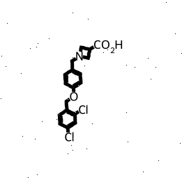 O=C(O)C1CN(Cc2ccc(OCc3ccc(Cl)cc3Cl)cc2)C1